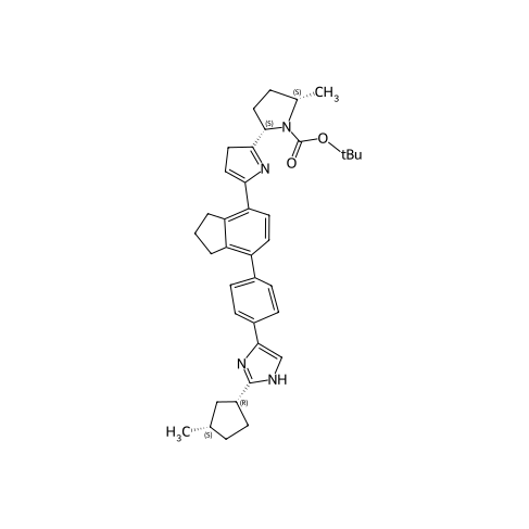 C[C@H]1CC[C@@H](c2nc(-c3ccc(-c4ccc(C5=CCC([C@@H]6CC[C@H](C)N6C(=O)OC(C)(C)C)=N5)c5c4CCC5)cc3)c[nH]2)C1